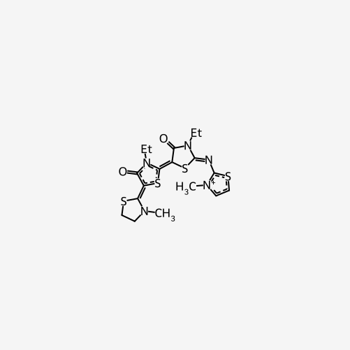 CCN1C(=O)/C(=c2/s/c(=C3/SCCN3C)c(=O)n2CC)S/C1=N\c1scc[n+]1C